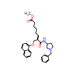 COC(=O)CCCC/C=C(\COc1cccc2ccccc12)C(=O)NC1CCN(Cc2ccccc2)C1